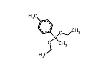 CCO[Si](C)(OCC)c1ccc(C)cc1